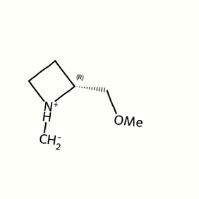 [CH2-][NH+]1CC[C@@H]1COC